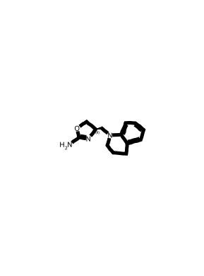 NC1=N[C@H](CN2CCCc3ccccc32)CO1